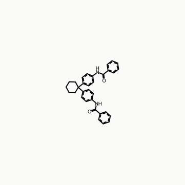 O=C(Nc1ccc(C2(c3ccc(NC(=O)c4ccccc4)cc3)CCCCC2)cc1)c1ccccc1